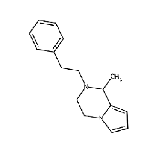 CC1c2cccn2CCN1CCc1ccccc1